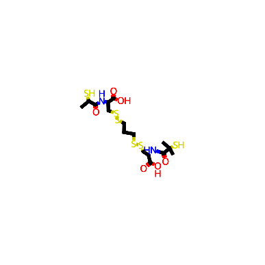 CC(S)C(=O)NC(CSSCCCSSCC(NC(=O)C(C)(C)S)C(=O)O)C(=O)O